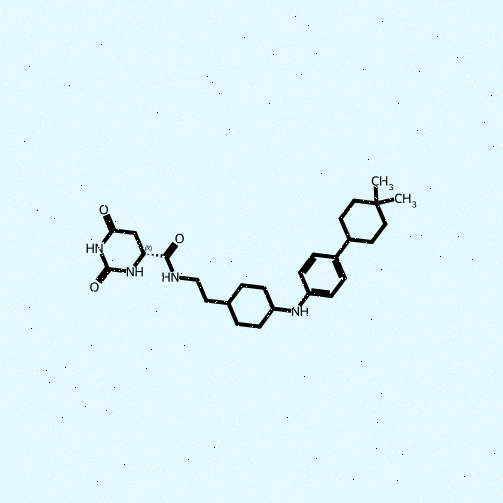 CC1(C)CCC(c2ccc(NC3CCC(CCNC(=O)[C@H]4CC(=O)NC(=O)N4)CC3)cc2)CC1